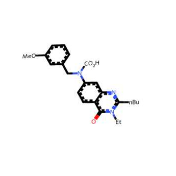 CCCCc1nc2cc(N(Cc3cccc(OC)c3)C(=O)O)ccc2c(=O)n1CC